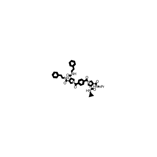 CCCNC(=O)[C@@H]1CN(C(=O)c2ccc(C(=O)N3C[C@@H](C(=O)NCCc4ccccc4)[C@H](C(=O)NCCc4ccccc4)C3)cc2)C[C@H]1C(=O)NC1CC1